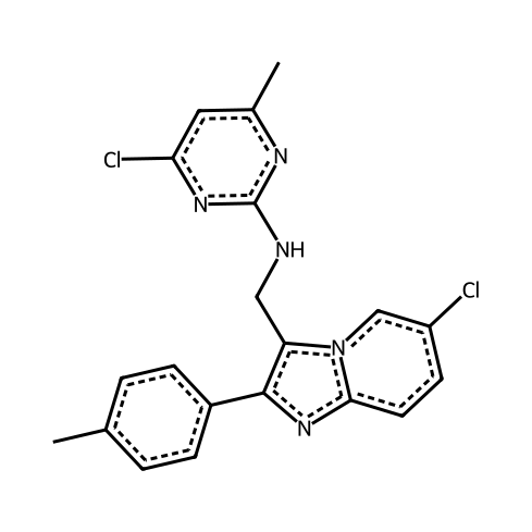 Cc1ccc(-c2nc3ccc(Cl)cn3c2CNc2nc(C)cc(Cl)n2)cc1